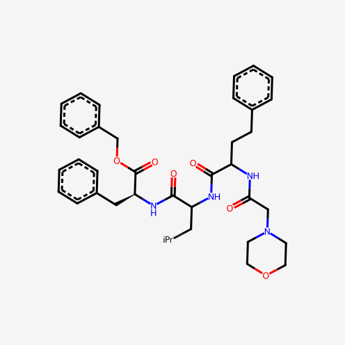 CC(C)CC(NC(=O)C(CCc1ccccc1)NC(=O)CN1CCOCC1)C(=O)N[C@@H](Cc1ccccc1)C(=O)OCc1ccccc1